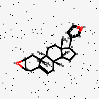 C[C@]12CC[C@H]3[C@@H](CC=C4CC5OC5C[C@@]43C)[C@@H]1CC[C@@H]2c1ccoc1